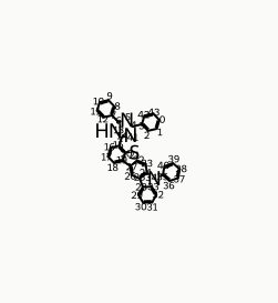 c1ccc(C2=NC(c3ccccc3)NC(c3cccc4c3sc3cc5c(cc34)c3ccccc3n5-c3ccccc3)=N2)cc1